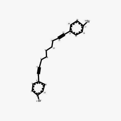 Brc1ccc(C#CCCCCCC#Cc2ccc(Br)cc2)cc1